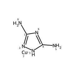 Nc1n[nH]c(N)n1.[Cu]